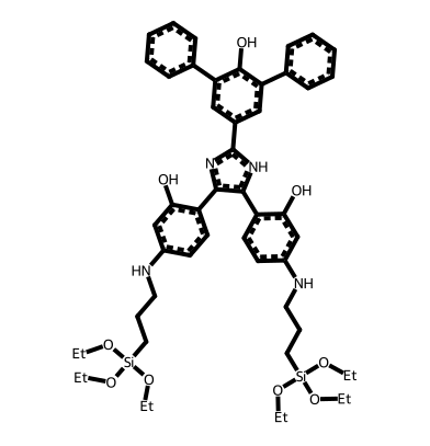 CCO[Si](CCCNc1ccc(-c2nc(-c3cc(-c4ccccc4)c(O)c(-c4ccccc4)c3)[nH]c2-c2ccc(NCCC[Si](OCC)(OCC)OCC)cc2O)c(O)c1)(OCC)OCC